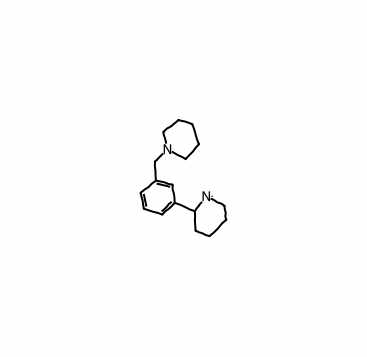 c1cc(CN2CCCCC2)cc(C2CCCC[N]2)c1